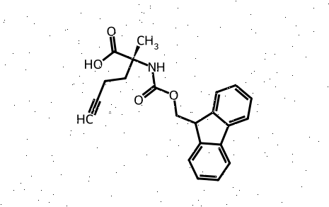 C#CCC[C@@](C)(NC(=O)OCC1c2ccccc2-c2ccccc21)C(=O)O